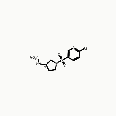 O=C(O)N[C@@H]1CCN(S(=O)(=O)c2ccc(Cl)nc2)C1